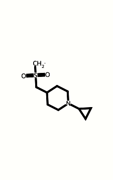 [CH2]S(=O)(=O)CC1CCN(C2CC2)CC1